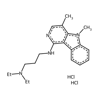 CCN(CC)CCCNc1ncc(C)c2c1c1ccccc1n2C.Cl.Cl